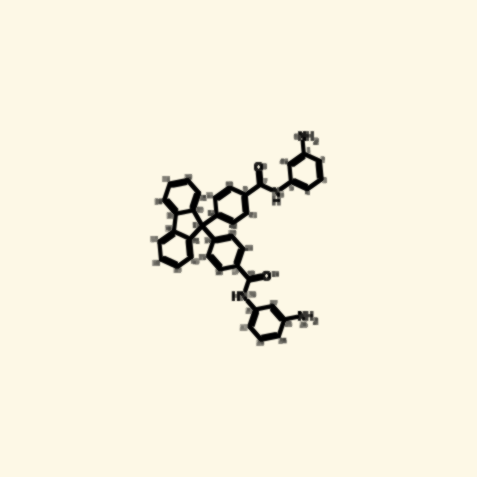 Nc1cccc(NC(=O)c2ccc(C3(c4ccc(C(=O)Nc5cccc(N)c5)cc4)c4ccccc4-c4ccccc43)cc2)c1